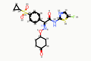 O=C1CCC(O/N=C(/C(=O)Nc2ncc(F)s2)c2ccc(S(=O)(=O)C3CC3)cc2)CC1